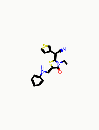 CCn1c(=C(C#N)c2ccsc2)sc(=CNc2ccccc2)c1=O